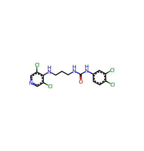 O=C(NCCCNc1c(Cl)cncc1Cl)Nc1ccc(Cl)c(Cl)c1